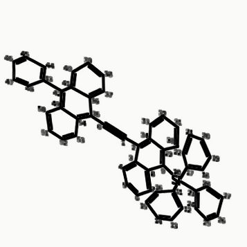 C(#Cc1c2ccccc2c([Si](c2ccccc2)(c2ccccc2)c2ccccc2)c2ccccc12)c1c2ccccc2c(-c2ccccc2)c2ccccc12